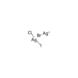 [Ag+].[Br-].[Cl][Ag][I]